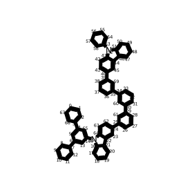 c1ccc(-c2cc(-c3ccccc3)cc(-n3c4ccccc4c4cc(-c5cccc(-c6cccc(-c7cccc(-c8ccc9c(c8)c8ccccc8n9-c8ccccc8)c7)c6)c5)ccc43)c2)cc1